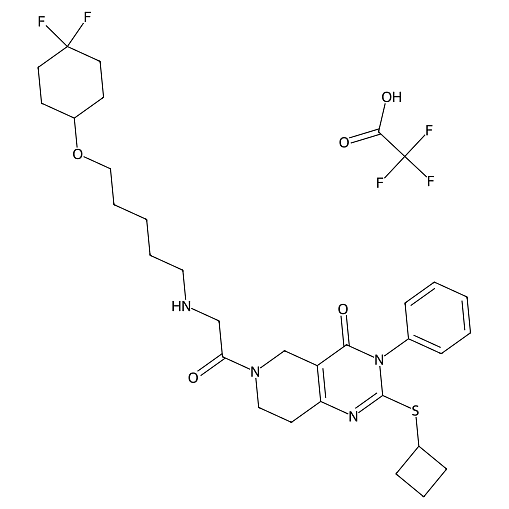 O=C(CNCCCCCOC1CCC(F)(F)CC1)N1CCc2nc(SC3CCC3)n(-c3ccccc3)c(=O)c2C1.O=C(O)C(F)(F)F